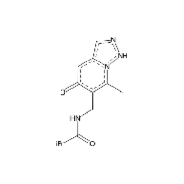 Cc1c(CNC(=O)C(C)C)c(=O)cc2cn[nH]n12